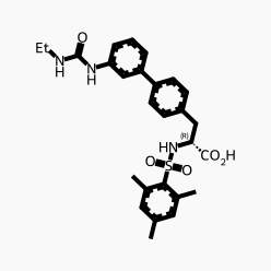 CCNC(=O)Nc1cccc(-c2ccc(C[C@@H](NS(=O)(=O)c3c(C)cc(C)cc3C)C(=O)O)cc2)c1